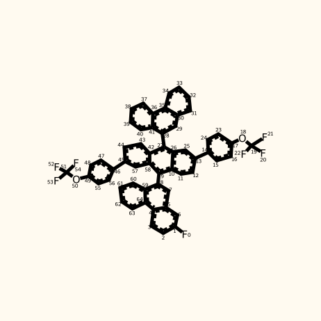 Fc1ccc2c(c1)cc(-c1c3ccc(-c4ccc(OC(F)(F)F)cc4)cc3c(-c3cc4ccccc4c4ccccc34)c3ccc(-c4ccc(OC(F)(F)F)cc4)cc13)c1ccccc12